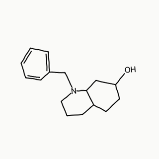 OC1CCC2CCCN(Cc3ccccc3)C2C1